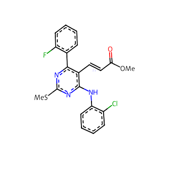 COC(=O)/C=C/c1c(Nc2ccccc2Cl)nc(SC)nc1-c1ccccc1F